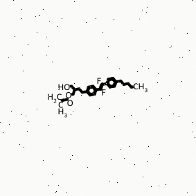 C=C(C)C(=O)OCC(CO)CCc1ccc(/C(F)=C(\F)c2ccc(CCCCC)cc2)cc1